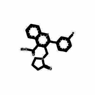 COC(=O)c1c(CN2CCCC2=O)c(-c2cccc(F)c2)nc2ccccc12